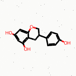 Oc1ccc(C2COc3cc(O)cc(O)c3C2)cc1